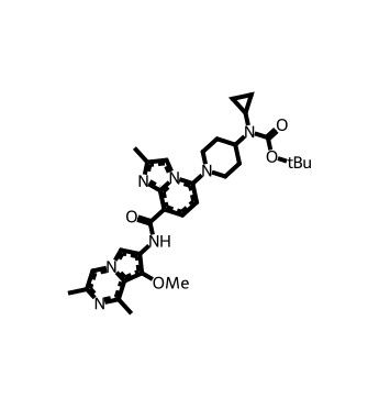 COc1c(NC(=O)c2ccc(N3CCC(N(C(=O)OC(C)(C)C)C4CC4)CC3)n3cc(C)nc23)cn2cc(C)nc(C)c12